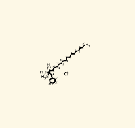 CCCCCCCCCCCCCCCCC(C)C(C)(N)Cc1ccccc1.Cl